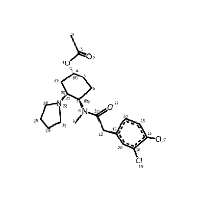 CC(=O)O[C@@H]1CC[C@@H](N(C)C(=O)Cc2ccc(Cl)c(Cl)c2)[C@@H](N2CCCC2)C1